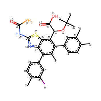 Cc1ccc(-c2c(C)c(-c3ccc(C)c(I)c3)c3nc(NC(=O)P)sc3c2C(OC(C)(C)C)C(=O)O)cc1C